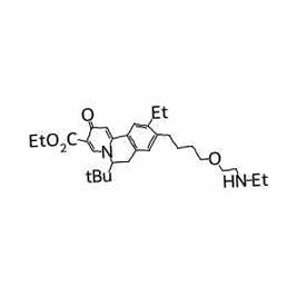 CCNCCOCCCCc1cc2c(cc1CC)-c1cc(=O)c(C(=O)OCC)cn1C(C(C)(C)C)C2